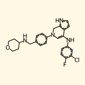 Fc1ccc(NC2=CN(c3ccc(CNC4CCOCC4)cc3)Cc3[nH]ccc32)cc1Cl